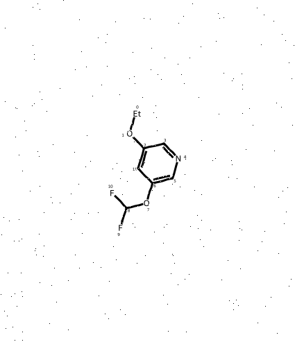 CCOc1[c]ncc(OC(F)F)c1